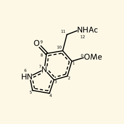 COc1cc2cc[nH]n2c(=O)c1CNC(C)=O